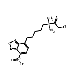 NC(N)(CCCCCc1ccc([N+](=O)[O-])c2nonc12)C(=O)CCl